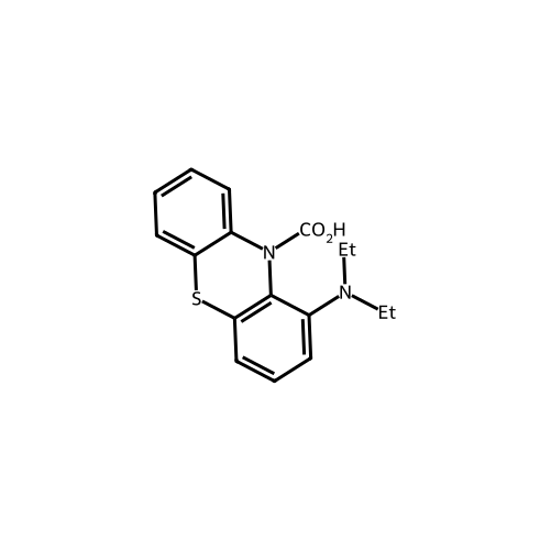 CCN(CC)c1cccc2c1N(C(=O)O)c1ccccc1S2